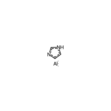 [Al].c1c[nH]cn1